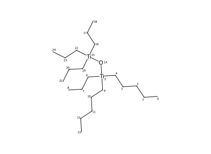 CCCC[CH2][Ti]([CH2]CC)([CH2]CCCC)[O][Ti]([CH2]CC)([CH2]CC)[CH2]CC